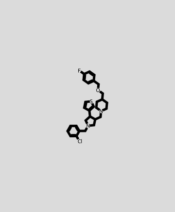 Fc1ccc(COCC2CCN(CC3CN(Cc4ccccc4Cl)CC3c3ccsc3)CC2)cc1